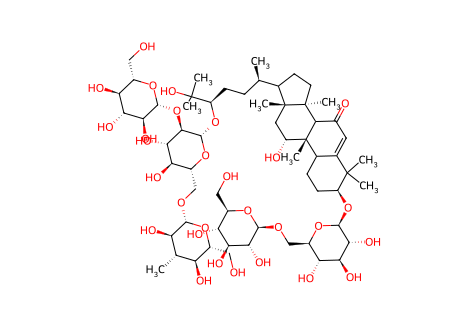 C[C@@H]1[C@@H](O)[C@H](OC[C@H]2O[C@@H](O[C@H](CC[C@@H](C)C3CC[C@@]4(C)C5C(=O)C=C6C(CC[C@H](O[C@@H]7O[C@H](CO[C@@H]8O[C@H](CO)[C@@H](O)[C@H](O)[C@H]8O)[C@@H](O)[C@H](O)[C@H]7O)C6(C)C)[C@]5(C)[C@H](O)C[C@]34C)C(C)(C)O)[C@H](O[C@H]3O[C@@H](CO)[C@H](O)[C@@H](O)[C@@H]3O)[C@@H](O)[C@@H]2O)O[C@H](CO)[C@H]1O